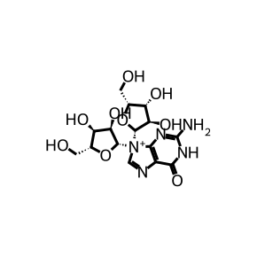 Nc1nc2c(c(=O)[nH]1)N=C[N+]2([C@@H]1O[C@H](CO)[C@H](O)[C@H]1O)[C@@H]1O[C@H](CO)[C@@H](O)[C@H]1O